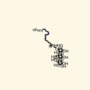 CCCCC/C=C\C/C=C\C/C=C\C/C=C\CCCC(=O)NCCO[C@@H]1O[C@H](CO)[C@@H](O)[C@H](O[C@@H]2O[C@H](CO)[C@@H](O)[C@H](O[C@@H]3O[C@H](CO)[C@@H](O)[C@H](O)[C@H]3O)[C@H]2O)[C@H]1O